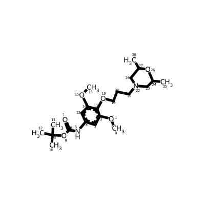 COc1cc(NC(=O)OC(C)(C)C)cc(OC)c1OCCCN1CC(C)OC(C)C1